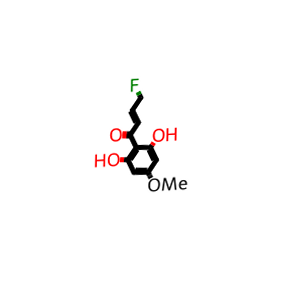 COc1cc(O)c(C(=O)/C=C/CF)c(O)c1